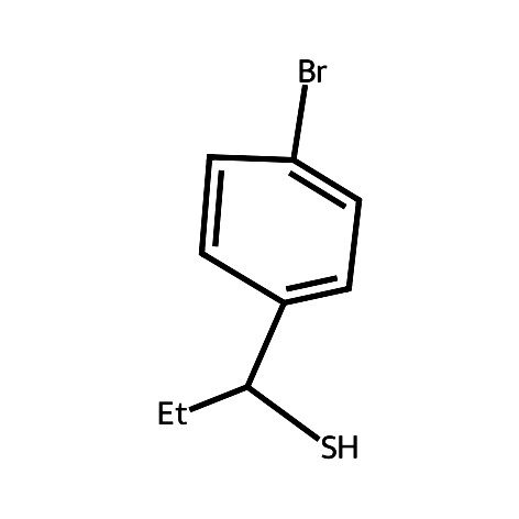 CCC(S)c1ccc(Br)cc1